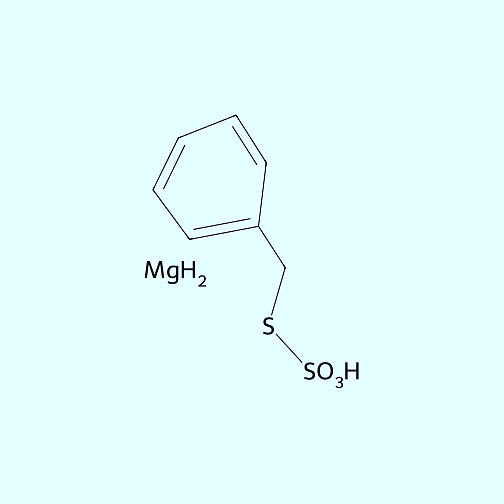 O=S(=O)(O)SCc1ccccc1.[MgH2]